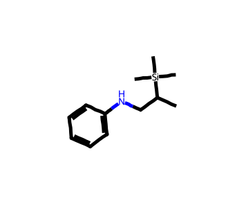 CC(CNc1ccccc1)[Si](C)(C)C